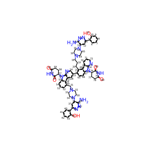 Nc1nnc(-c2ccccc2O)cc1N1CCN(CCCc2c(-c3cnc4c(c3)c3c(CN5CCN(c6cc(-c7ccccc7O)nnc6N)CC5)cccc3n4C3CCC(=O)NC3=O)ccc3c2c2cccnc2n3C2CCC(=O)NC2=O)CC1